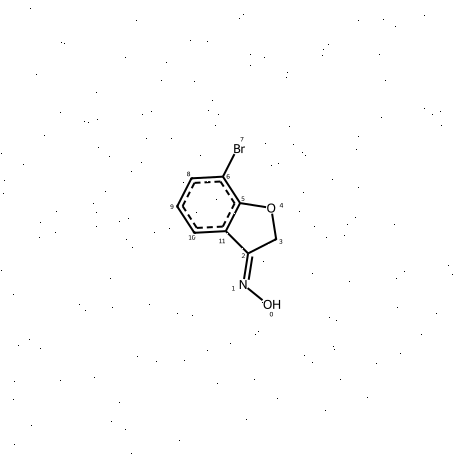 ON=C1COc2c(Br)cccc21